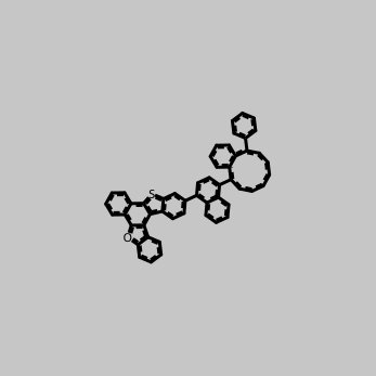 c1ccc(-c2ccccccc(-c3ccc(-c4ccc5c(c4)sc4c6ccccc6c6oc7ccccc7c6c54)c4ccccc34)c3ccccc23)cc1